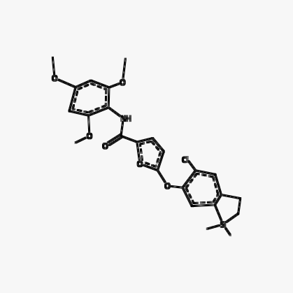 COc1cc(OC)c(NC(=O)c2ccc(Oc3cc4c(cc3Cl)CC[Si]4(C)C)o2)c(OC)c1